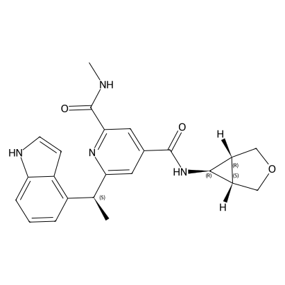 CNC(=O)c1cc(C(=O)N[C@H]2[C@@H]3COC[C@@H]32)cc([C@@H](C)c2cccc3[nH]ccc23)n1